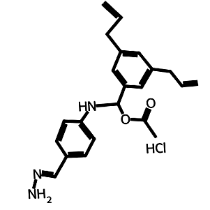 C=CCc1cc(CC=C)cc(C(Nc2ccc(C=NN)cc2)OC(C)=O)c1.Cl